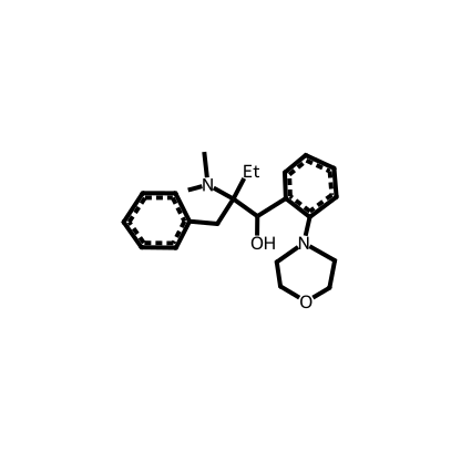 CCC(Cc1ccccc1)(C(O)c1ccccc1N1CCOCC1)N(C)C